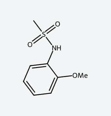 COc1ccccc1NS(C)(=O)=O